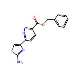 Nc1nc(-c2ccc(C(=O)OCc3ccccc3)cn2)cs1